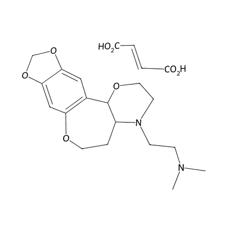 CN(C)CCN1CCOC2c3cc4c(cc3OCCC21)OCO4.O=C(O)/C=C/C(=O)O